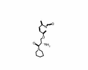 C=C(/C=C\C(=C)OC[C@H](N)C(=O)N1CCCCC1)N=C=O